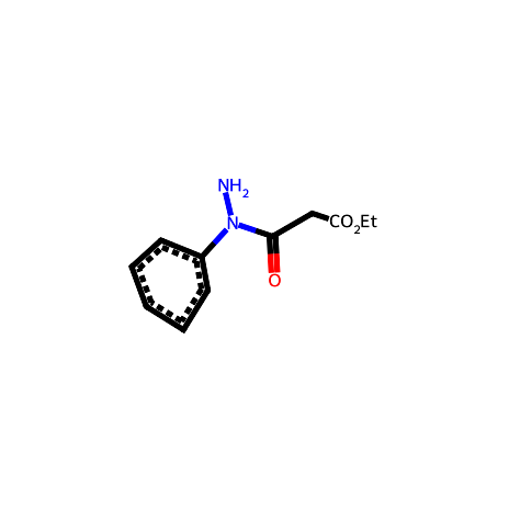 CCOC(=O)CC(=O)N(N)c1ccccc1